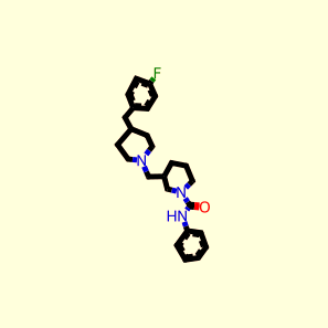 O=C(Nc1ccccc1)N1CCCC(CN2CCC(Cc3ccc(F)cc3)CC2)C1